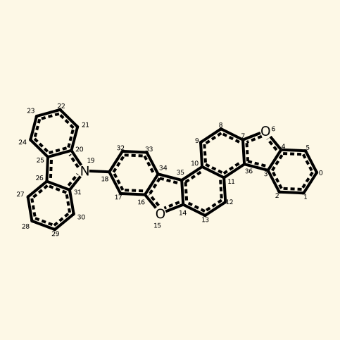 c1ccc2c(c1)oc1ccc3c(ccc4oc5cc(-n6c7ccccc7c7ccccc76)ccc5c43)c12